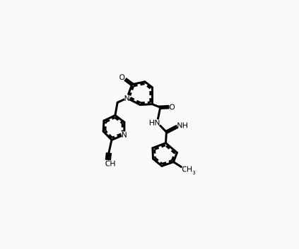 C#Cc1ccc(Cn2cc(C(=O)NC(=N)c3cccc(C)c3)ccc2=O)cn1